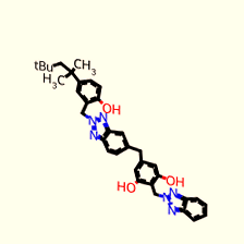 CC(C)(C)CC(C)(C)c1ccc(O)c(Cn2nc3ccc(Cc4cc(O)c(Cn5nc6ccccc6n5)c(O)c4)cc3n2)c1